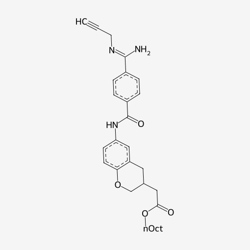 C#CCN=C(N)c1ccc(C(=O)Nc2ccc3c(c2)CC(CC(=O)OCCCCCCCC)CO3)cc1